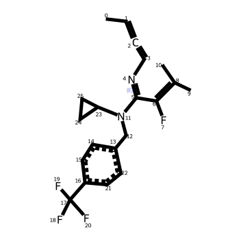 CC=C=C/N=C(\C(F)=C(C)C)N(Cc1ccc(C(F)(F)F)cc1)C1CC1